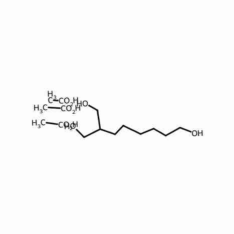 CC(=O)O.CC(=O)O.CC(=O)O.OCCCCCCC(CO)CO